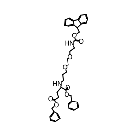 O=C(CCC(NCCCOCCOCCNC(=O)OCC1c2ccccc2-c2ccccc21)C(=O)OCc1ccccc1)OCc1ccccc1